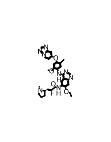 CCOc1cc2ncnc(Nc3cc(C)c(Oc4ccn5ncnc5c4)cc3OC)c2cc1NC(=O)/C(F)=C/[C@H]1CCCN1C